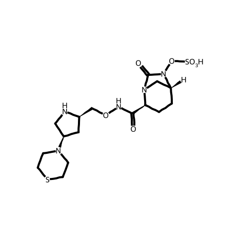 O=C(NOC[C@H]1C[C@@H](N2CCSCC2)CN1)[C@@H]1CC[C@@H]2CN1C(=O)N2OS(=O)(=O)O